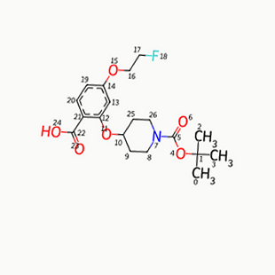 CC(C)(C)OC(=O)N1CCC(Oc2cc(OCCF)ccc2C(=O)O)CC1